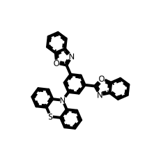 c1ccc2c(c1)Sc1ccccc1N2c1cc(-c2nc3ccccc3o2)cc(-c2nc3ccccc3o2)c1